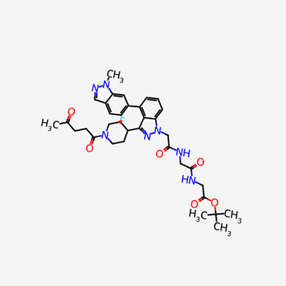 CC(=O)CCC(=O)N1CCC(c2nn(CC(=O)NCC(=O)NCC(=O)OC(C)(C)C)c3cccc(-c4cc5c(cnn5C)cc4F)c23)CC1